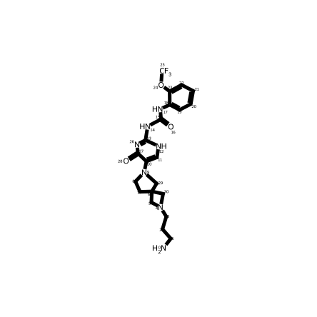 NCCCN1CC2(CCN(c3c[nH]c(NC(=O)Nc4ccccc4OC(F)(F)F)nc3=O)C2)C1